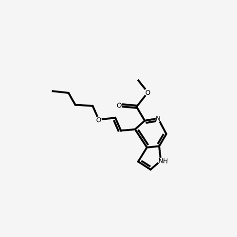 CCCCO/C=C/c1c(C(=O)OC)ncc2[nH]ccc12